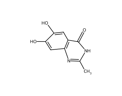 Cc1nc2cc(O)c(O)cc2c(=O)[nH]1